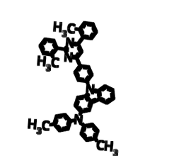 Cc1ccc(N(c2ccc(C)cc2)c2ccc3c(c2)c2ccccc2n3-c2ccc(-c3cc(-c4ccccc4C)nc(-c4ccccc4C)n3)cc2)cc1